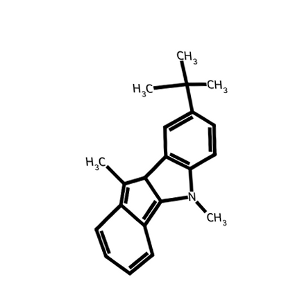 CC1=c2ccccc2=C2C1c1cc(C(C)(C)C)ccc1N2C